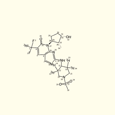 [2H]C(F)(F)c1cc2cnc(NC3C([2H])([2H])CN(S(C)(=O)=O)CC3([2H])[2H])nc2n([C@H]2CC[C@H](O)[C@@H]2C)c1=O